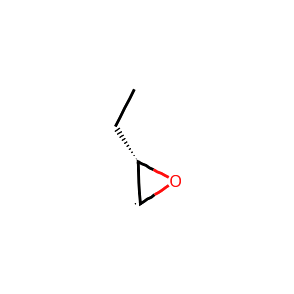 CC[C@H]1[CH]O1